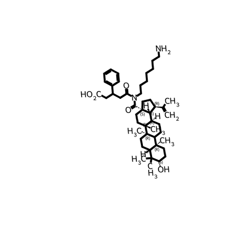 C=C(C)[C@@H]1CC[C@]2(C(=O)N(CCCCCCCN)C(=O)CC(CC(=O)O)c3ccccc3)CC[C@]3(C)[C@H](CCC4[C@@]5(C)CC[C@H](O)C(C)(C)[C@@H]5CC[C@]43C)[C@@H]12